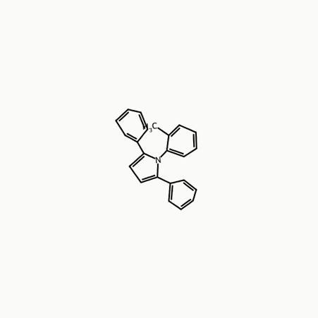 Cc1ccccc1-n1c(-c2ccccc2)ccc1-c1ccccc1